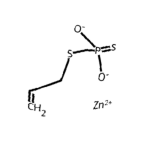 C=CCSP([O-])([O-])=S.[Zn+2]